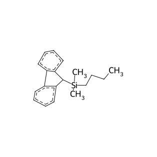 CCCC[Si](C)(C)C1c2ccccc2-c2ccccc21